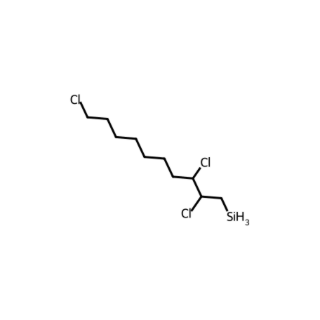 [SiH3]CC(Cl)C(Cl)CCCCCCCCl